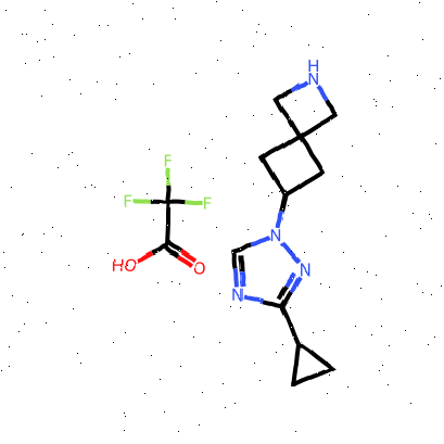 O=C(O)C(F)(F)F.c1nc(C2CC2)nn1C1CC2(CNC2)C1